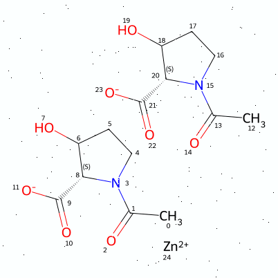 CC(=O)N1CCC(O)[C@H]1C(=O)[O-].CC(=O)N1CCC(O)[C@H]1C(=O)[O-].[Zn+2]